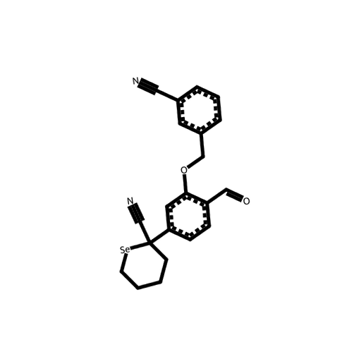 N#Cc1cccc(COc2cc(C3(C#N)CCCC[Se]3)ccc2C=O)c1